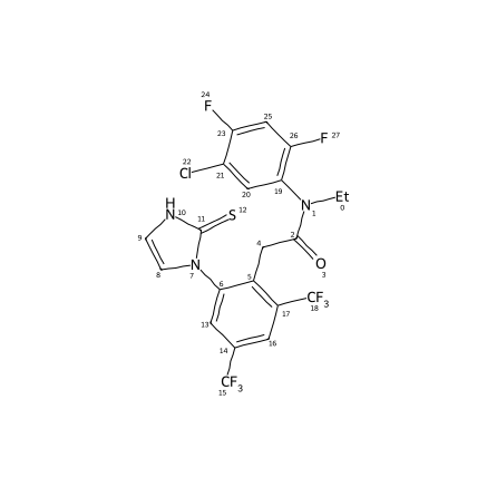 CCN(C(=O)Cc1c(-n2cc[nH]c2=S)cc(C(F)(F)F)cc1C(F)(F)F)c1cc(Cl)c(F)cc1F